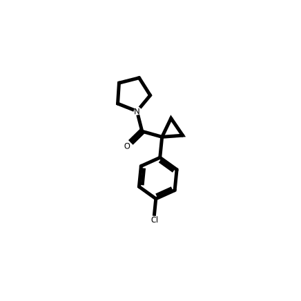 O=C(N1CCCC1)C1(c2ccc(Cl)cc2)CC1